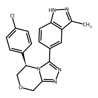 Cc1n[nH]c2ccc(-c3nnc4n3[C@H](c3ccc(Cl)cc3)COC4)cc12